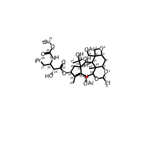 CCC1OC2CC3OCC3(COC(C)=O)[C@H]3[C@H](O)C4(C(C)(C)O)C[C@H](OC(=O)[C@H](O)C(CC(C)C)NC(=O)OC(C)(C)C)C(C)=C4[C@H](OC(C)=O)[C@H](O1)C23C